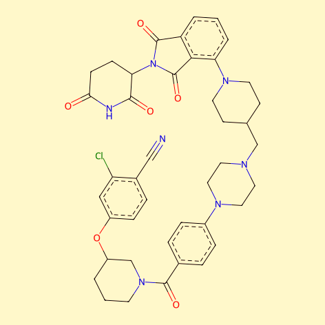 N#Cc1ccc(OC2CCCN(C(=O)c3ccc(N4CCN(CC5CCN(c6cccc7c6C(=O)N(C6CCC(=O)NC6=O)C7=O)CC5)CC4)cc3)C2)cc1Cl